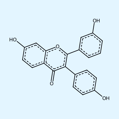 O=c1c(-c2ccc(O)cc2)c(-c2cccc(O)c2)oc2cc(O)ccc12